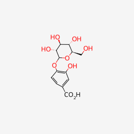 O=C(O)c1ccc(OC2O[C@H](CO)[C@@H](O)[C@H](O)[C@H]2O)c(O)c1